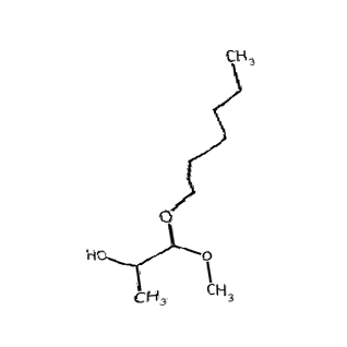 CCCCCCOC(OC)C(C)O